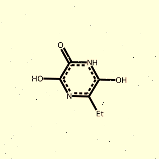 CCc1nc(O)c(=O)[nH]c1O